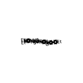 CCC1CCC(c2ccc(C(=O)Oc3ccc(N=NC4Cc5sc(N=Nc6ccc(N(CC)CC)cc6)nc5S4)cc3)cc2)CC1